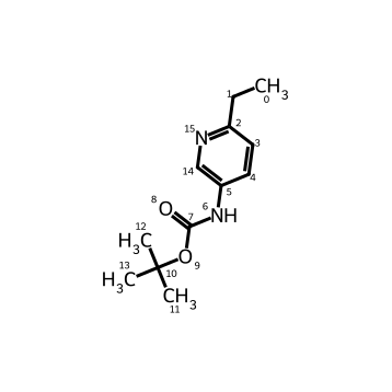 CCc1ccc(NC(=O)OC(C)(C)C)cn1